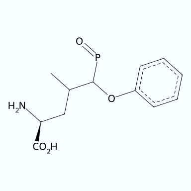 CC(C[C@H](N)C(=O)O)C(Oc1ccccc1)P=O